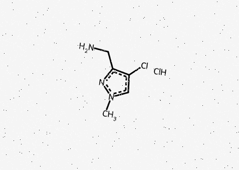 Cl.Cn1cc(Cl)c(CN)n1